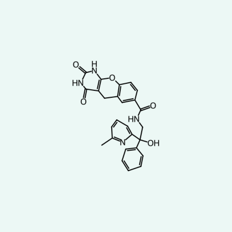 Cc1cccc(C(O)(CNC(=O)c2ccc3c(c2)Cc2c([nH]c(=O)[nH]c2=O)O3)c2ccccc2)n1